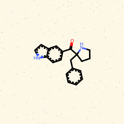 O=C(c1ccc2[nH]ccc2c1)C1(Cc2ccccc2)CCCN1